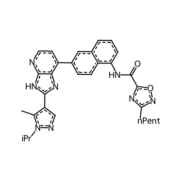 CCCCCc1noc(C(=O)Nc2cccc3cc(-c4ccnc5[nH]c(-c6cnn(C(C)C)c6C)nc45)ccc23)n1